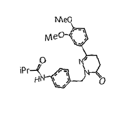 COc1ccc(C2=NN(Cc3ccc(NC(=O)C(C)C)cc3)C(=O)CC2)cc1OC